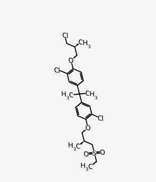 CCS(=O)(=O)C[C@@H](C)COc1ccc(C(C)(C)c2ccc(OC[C@H](C)CCl)c(Cl)c2)cc1Cl